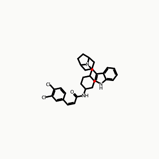 O=C(/C=C\c1ccc(Cl)c(Cl)c1)NC1CCC(CN2C3CCC2CC(c2c[nH]c4ccccc24)C3)CC1